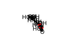 C[C@]12C=CC(=O)C=C1CC[C@H]1[C@@H]3C[C@@H](O)[C@](O)(C(=O)COC(=O)NCC(=O)NCCC(ON(O)O)ON(O)O)[C@@]3(C)C[C@H](O)[C@@]12F